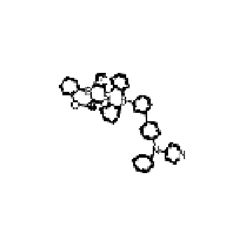 c1ccc(N(c2ccncc2)c2ccc(-c3cccc(B4c5ccccc5[Si]5(c6ccccc64)c4ccccc4B4c6ccccc6Oc6cccc5c64)c3)cc2)cc1